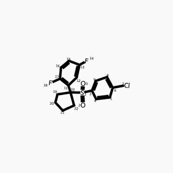 O=S(=O)(c1ccc(Cl)cc1)C1(c2cc(F)ccc2F)CCCC1